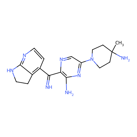 CC1(N)CCN(c2cnc(C(=N)c3ccnc4c3CCN4)c(N)n2)CC1